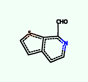 O=Cc1nccc2ccsc12